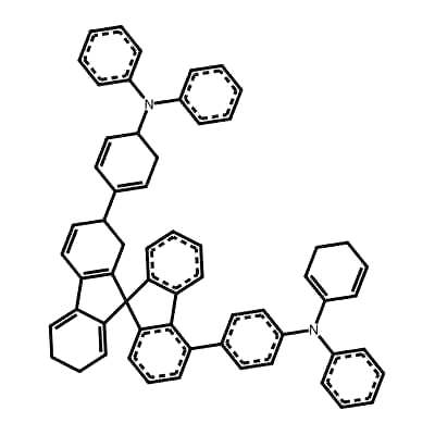 C1=CC(N(c2ccccc2)c2ccc(-c3cccc4c3-c3ccccc3C43C4=CCCC=C4C4=C3CC(C3=CCC(N(c5ccccc5)c5ccccc5)C=C3)C=C4)cc2)=CCC1